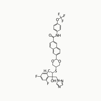 CC(SC1COC(c2ccc3cc(C(=O)Nc4ccc(OC(F)(F)F)cc4)ccc3c2)OC1)C(O)(Cn1cncn1)c1ccc(F)cc1F